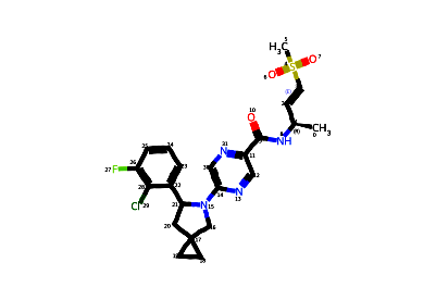 C[C@H](/C=C/S(C)(=O)=O)NC(=O)c1cnc(N2CC3(CC3)CC2c2cccc(F)c2Cl)cn1